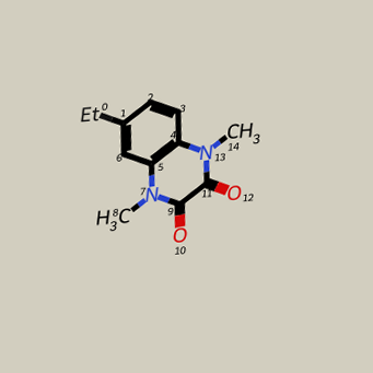 CCc1ccc2c(c1)n(C)c(=O)c(=O)n2C